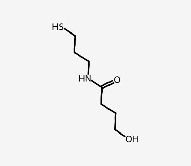 O=C(CCCO)NCCCS